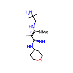 CN/C(NCC(C)(C)N)=C(/C)C(=N)NC1CCOCC1